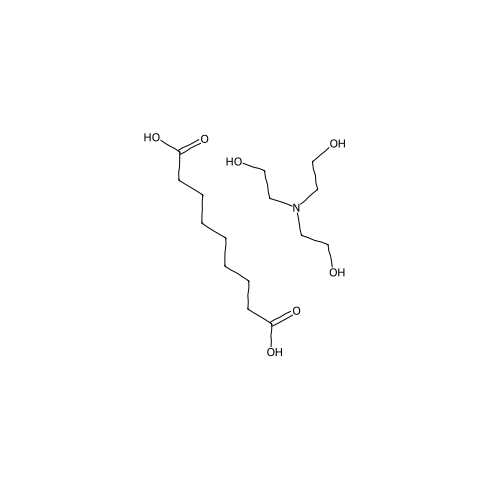 O=C(O)CCCCCCCC(=O)O.OCCN(CCO)CCO